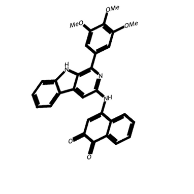 COc1cc(-c2nc(NC3=CC(=O)C(=O)c4ccccc43)cc3c2[nH]c2ccccc23)cc(OC)c1OC